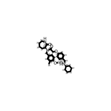 CCCOc1ccc(CN(C(=O)COc2ccc(CNC3CCCCC3)cc2)[C@H]2CCCCNC2=O)cc1C